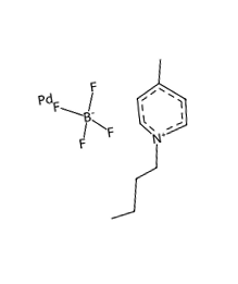 CCCC[n+]1ccc(C)cc1.F[B-](F)(F)F.[Pd]